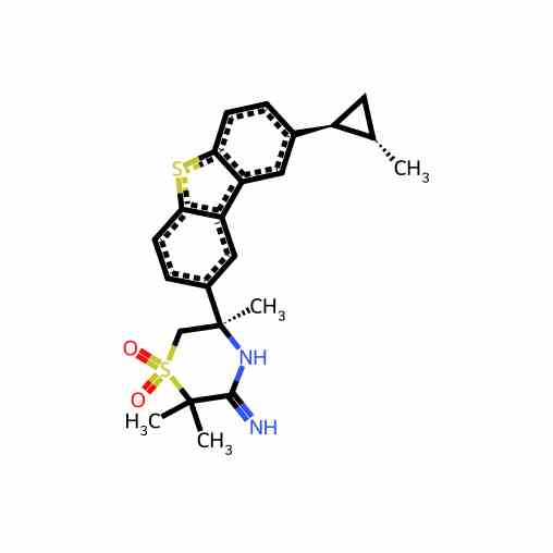 C[C@H]1C[C@@H]1c1ccc2sc3ccc([C@]4(C)CS(=O)(=O)C(C)(C)C(=N)N4)cc3c2c1